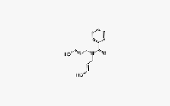 O=C(c1ccccc1)N(CC=CO)CC=CO